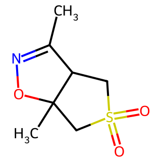 CC1=NOC2(C)CS(=O)(=O)CC12